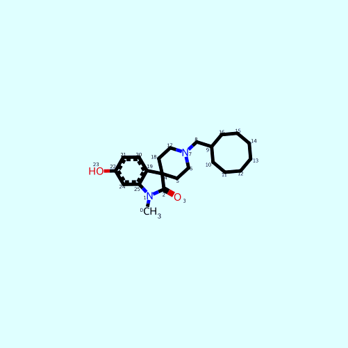 CN1C(=O)C2(CCN(CC3CCCCCCC3)CC2)c2ccc(O)cc21